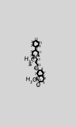 CN1C(=O)CCc2ccc(OCCC[N+]3(C)CCC(c4ccccc4)CC3)cc21.[I-]